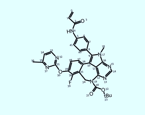 C=CC(=O)Nc1ccc(-c2c3c4c(ncnc4n2C)N(C(=O)OC(C)(C)C)Cc2c-3ccc(Oc3nccc(C)n3)c2F)cc1